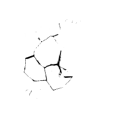 CCCCCO[C@@]1(C(F)(F)F)O[C@@H]2O[C@]3(C)CC[C@H]4[C@H](C)CC[C@@H]([C@H]1C)[C@@]24OO3